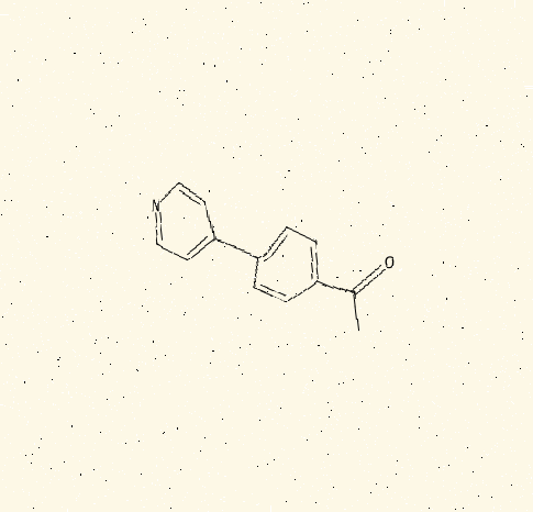 CC(=O)c1ccc(-c2ccncc2)cc1